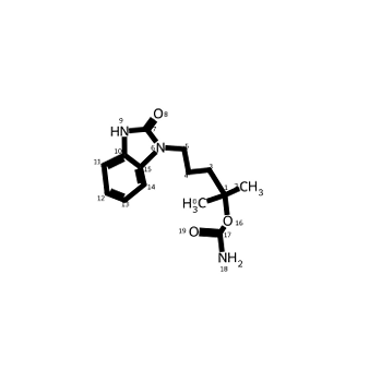 CC(C)(CCCn1c(=O)[nH]c2ccccc21)OC(N)=O